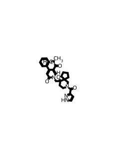 CN(C)C(=O)c1cn(CC2(O)CCN(C(=O)c3cc[nH]n3)CC23CCCC3)c(=O)cc1-c1ccccc1